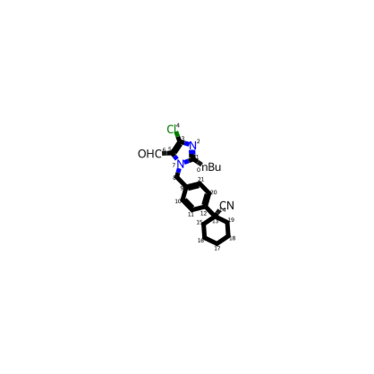 CCCCc1nc(Cl)c(C=O)n1Cc1ccc(C2(C#N)CCCCC2)cc1